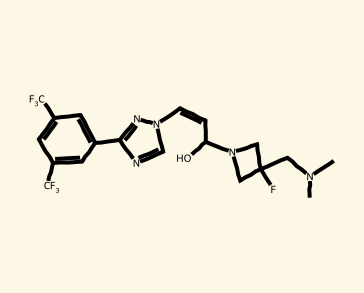 CN(C)CC1(F)CN(C(O)/C=C\n2cnc(-c3cc(C(F)(F)F)cc(C(F)(F)F)c3)n2)C1